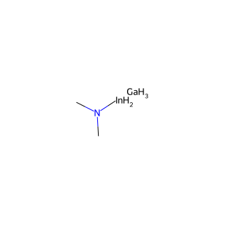 C[N](C)[InH2].[GaH3]